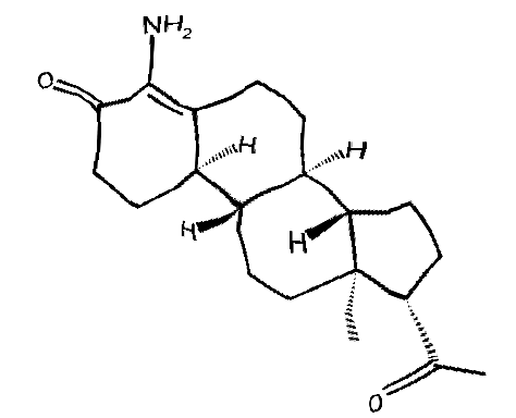 CC(=O)[C@H]1CC[C@H]2[C@@H]3CCC4=C(N)C(=O)CC[C@@H]4[C@H]3CC[C@]12C